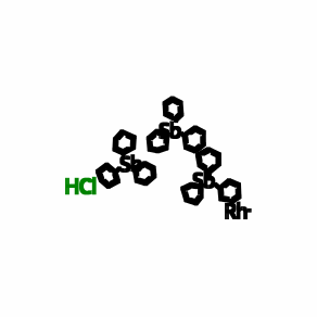 Cl.[Rh].c1cc[c]([Sb]([c]2ccccc2)[c]2ccccc2)cc1.c1cc[c]([Sb]([c]2ccccc2)[c]2ccccc2)cc1.c1cc[c]([Sb]([c]2ccccc2)[c]2ccccc2)cc1